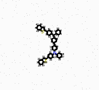 c1ccc(C(c2ccc(-c3ccc(N(c4ccccc4)c4ccc(-c5cc6ccccc6s5)cc4)cc3)cc2)c2ccc(-c3cc4ccccc4s3)cc2)cc1